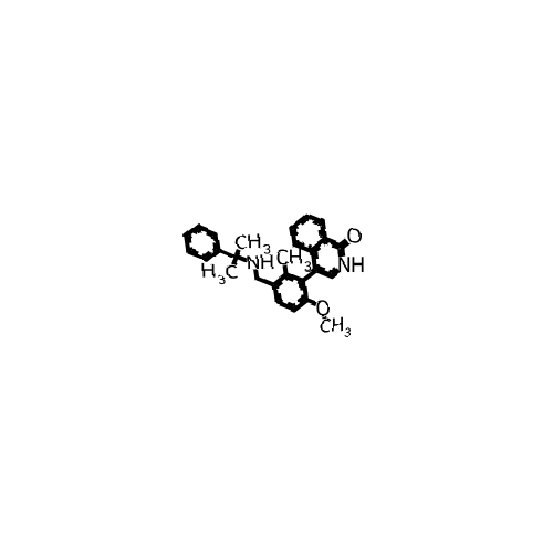 COc1ccc(CNC(C)(C)c2ccccc2)c(C)c1-c1c[nH]c(=O)c2ccccc12